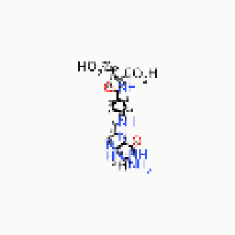 [2H]C1(N)NC(=O)c2nc(CNc3ccc(C(=O)N[C@@H](CCC(=O)O)C(=O)O)cc3)cnc2N1